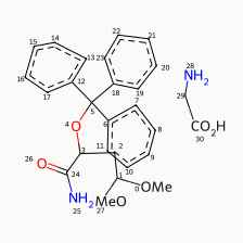 COC(CC(OC(c1ccccc1)(c1ccccc1)c1ccccc1)C(N)=O)OC.NCC(=O)O